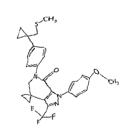 COc1ccc(-n2nc(C(F)(F)F)c3c2C(=O)N(c2ccc(C4(CSC)CC4)cc2)CC32CC2)cc1